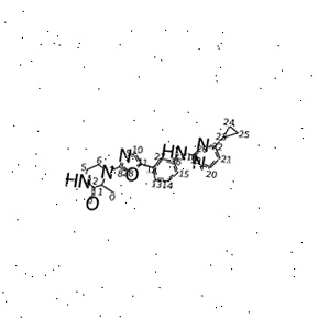 CC1C(=O)NCCN1c1ncc(-c2cccc(Nc3nccc(C4CC4)n3)c2)o1